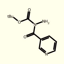 CC(C)(C)OC(=O)N(N)C(=O)c1cccnc1